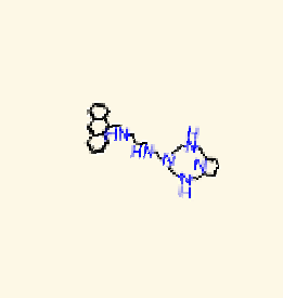 c1cc2nc(c1)CNCCN(CCNCCCNCc1c3ccccc3cc3ccccc13)CCNC2